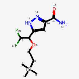 C[Si](C)(C)CCOC(c1cc(C(N)=O)n[nH]1)C(F)F